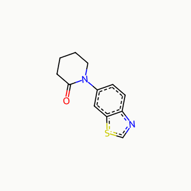 O=C1CCCCN1c1ccc2ncsc2c1